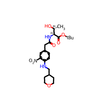 C[C@@H](O)[C@H](NC(=O)Cc1ccc(NCC2CCOCC2)c([N+](=O)[O-])c1)C(=O)OC(C)(C)C